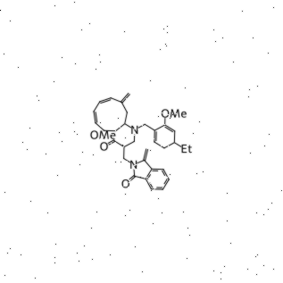 C=C1/C=C\C=C/CCC(N(CC2=CCC(CC)C=C2OC)CC(CN2C(=C)c3ccccc3C2=O)C(=O)OC)C1